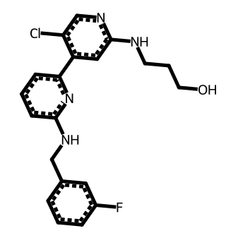 OCCCNc1cc(-c2cccc(NCc3cccc(F)c3)n2)c(Cl)cn1